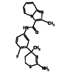 Cc1nc2ccccn2c1C(=O)Nc1ccc(F)c(C2(C)CCSC(N)=N2)c1